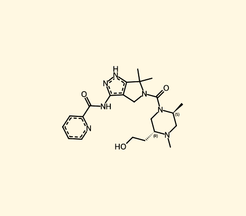 C[C@H]1CN(C)[C@H](CCO)CN1C(=O)N1Cc2c(NC(=O)c3ccccn3)n[nH]c2C1(C)C